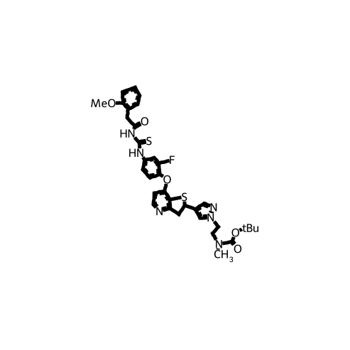 COc1ccccc1CC(=O)NC(=S)Nc1ccc(Oc2ccnc3c2SC(c2cnn(CCN(C)C(=O)OC(C)(C)C)c2)C3)c(F)c1